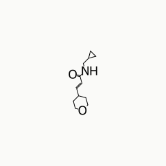 O=C(C=CC1CCOCC1)NCC1CC1